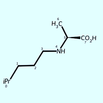 CC(C)CCCN[C@@H](C)C(=O)O